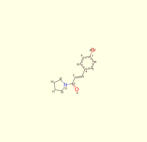 O=C(C=Cc1ccc(Br)cc1)N1CCCC1